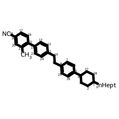 CCCCCCCC1CCC(c2ccc(CCc3ccc(-c4ccc(C#N)cc4C)cc3)cc2)CC1